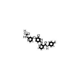 CC(=O)Nc1cc(Oc2ccc(Nc3ncccc3C(=O)Nc3ccc(F)cc3)cc2Cl)ccn1